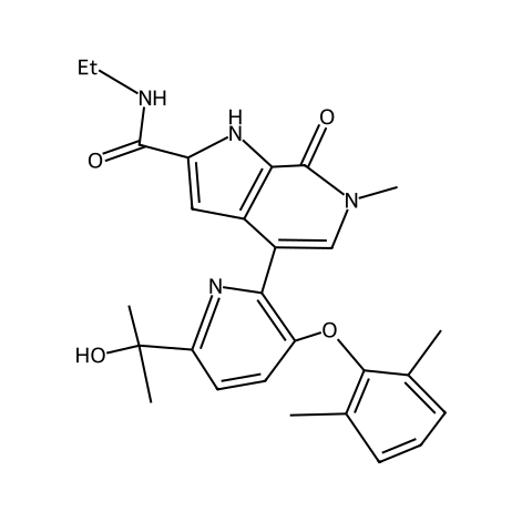 CCNC(=O)c1cc2c(-c3nc(C(C)(C)O)ccc3Oc3c(C)cccc3C)cn(C)c(=O)c2[nH]1